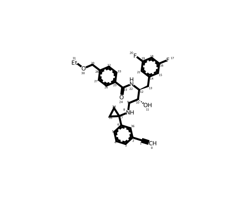 C#Cc1cccc(C2(NC[C@@H](O)[C@H](Cc3cc(F)cc(F)c3)NC(=O)c3ccc(COCC)cc3)CC2)c1